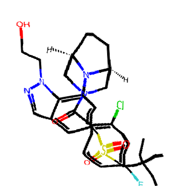 CC(C)(C)CS(=O)(=O)c1cc(N2[C@@H]3CC[C@H]2CN(C(=O)c2ccc(F)cc2Cl)C3)c2c(cnn2CCO)c1